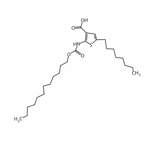 CCCCCCCCCCCCOC(=O)Nc1sc(CCCCCCCC)cc1C(=O)O